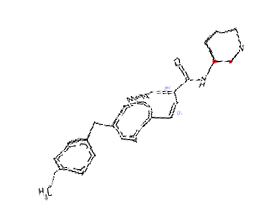 CN/C=C(\C=C/c1ccc(Cc2ccc(C)cc2)cc1)C(=O)NC1CN2CCC1CC2